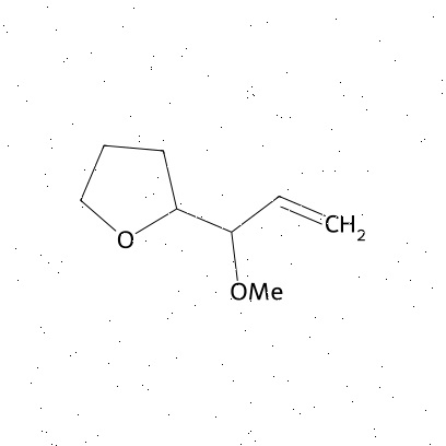 C=CC(OC)C1CCCO1